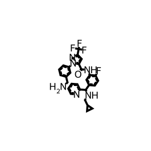 NCc1cccc(-n2nc(C(F)(F)F)cc2C(=O)Nc2cc(C(NCC3CC3)c3ccccn3)ccc2F)c1